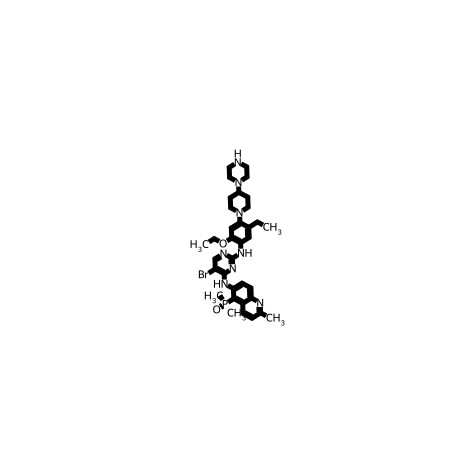 CCOc1cc(N2CCC(N3CCNCC3)CC2)c(CC)cc1Nc1ncc(Br)c(Nc2ccc3nc(C)ccc3c2P(C)(C)=O)n1